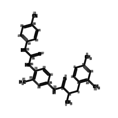 Cc1ccc(CC(C)C(=O)Nc2ccc(NC(=O)Nc3ccc(C#N)cc3)c(C)c2)c(C)c1